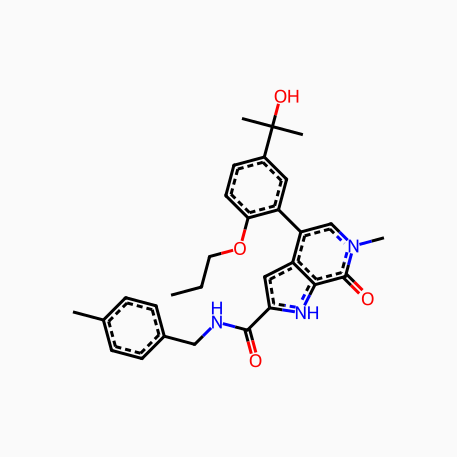 CCCOc1ccc(C(C)(C)O)cc1-c1cn(C)c(=O)c2[nH]c(C(=O)NCc3ccc(C)cc3)cc12